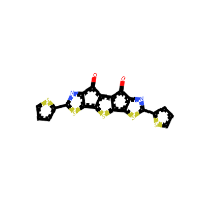 O=c1c2nc(-c3cccs3)sc2c2sc3c4sc(-c5cccs5)nc4c(=O)c3c12